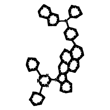 c1ccc(-c2nc(-c3ccccc3)nc(-n3c4ccccc4c4c5ccc6ccc(-c7ccc(N(c8ccccc8)c8ccc9ccccc9c8)cc7)c7ccc(cc43)c5c67)n2)cc1